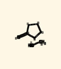 CO.O=C1CCCC1